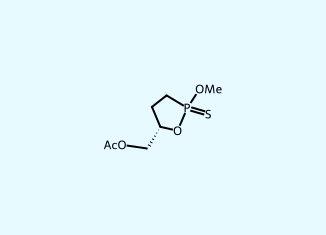 COP1(=S)CC[C@@H](COC(C)=O)O1